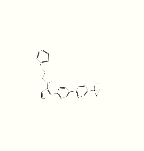 CCOC(=O)C1(c2ccc(-c3ccc(-c4sccc4C(O)CCCc4ccccc4)cc3)cc2)CC1